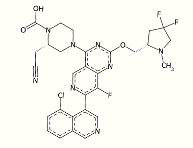 CN1CC(F)(F)C[C@H]1COc1nc(N2CCN(C(=O)O)[C@@H](CC#N)C2)c2cnc(-c3cncc4cccc(Cl)c34)c(F)c2n1